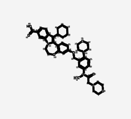 CN(C(=O)CN1CCOCC1)c1ccc(N2CCOCC2)c(COc2ccc3c(c2)OCCn2c-3c(C3CCCCC3)c3ccc(C(=O)O)cc32)c1